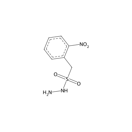 NNS(=O)(=O)Cc1ccccc1[N+](=O)[O-]